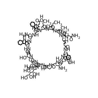 CCCC[C@H]1C(=O)N(C)[C@@H](CCCC)C(=O)N[C@@H](CC(C)C)C(=O)N[C@H](C(=O)NCC(N)=O)CSCC(=O)N[C@@H](Cc2ccc(O)cc2)C(=O)N(C)[C@@H](C)C(=O)N[C@@H](CC(N)=O)C(=O)N2CCC[C@H]2C(=O)N[C@@H](CNC[C@@H](O)[C@H](O)[C@@H](O)[C@@H](O)CO)C(=O)N[C@@H](CC(C)C)C(=O)N2C[C@H](O)C[C@H]2C(=O)N[C@@H](Cc2c[nH]c3ccccc23)C(=O)N[C@@H](CCN)C(=O)N[C@@H](Cc2cn(CC(=O)O)c3ccccc23)C(=O)N1C